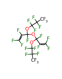 FC(F)=C(F)C(F)(OC(F)(OC(F)(F)C(F)(F)C(F)(F)F)C(F)=C(F)F)OC(F)(F)C(F)(F)C(F)(F)F